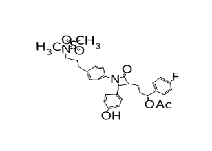 CC(=O)O[C@@H](CCC1C(=O)N(c2ccc(CCCN(C)S(C)(=O)=O)cc2)[C@@H]1c1ccc(O)cc1)c1ccc(F)cc1